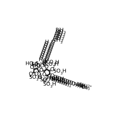 O.O.O.O.O.O.O.O.O.O.O.O.O.O.O.O.O.O.O.O.O=C([O-])O.O=C([O-])O.O=S(=O)(O)OC[C@H]1O[C@@H](O[C@]2(COS(=O)(=O)O)O[C@H](OS(=O)(=O)O)[C@@H](OS(=O)(=O)O)[C@@H]2OS(=O)(=O)O)[C@H](OS(=O)(=O)O)[C@@H](OS(=O)(=O)O)[C@@H]1OS(=O)(=O)O.[AlH3].[AlH3].[AlH3].[AlH3].[AlH3].[AlH3].[AlH3].[AlH3].[AlH3].[BiH3].[Ca+2]